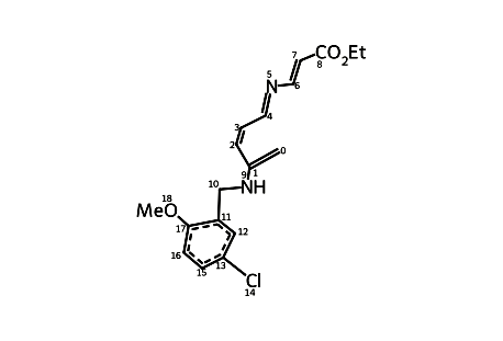 C=C(\C=C/C=N/C=C/C(=O)OCC)NCc1cc(Cl)ccc1OC